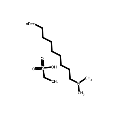 CCCCCCCCCCCCCCCCCCN(C)C.CCS(=O)(=O)O